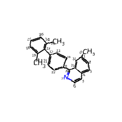 Cc1ccc2ccnc(-c3ccc(-c4c(C)cccc4C)cc3)c2c1